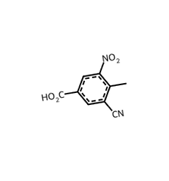 Cc1c(C#N)cc(C(=O)O)cc1[N+](=O)[O-]